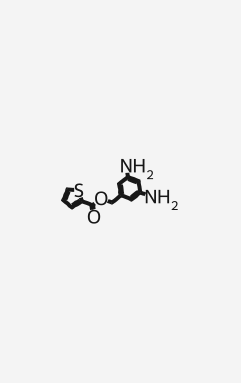 Nc1cc(N)cc(COC(=O)c2cccs2)c1